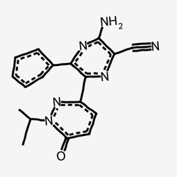 CC(C)n1nc(-c2nc(C#N)c(N)nc2-c2ccccc2)ccc1=O